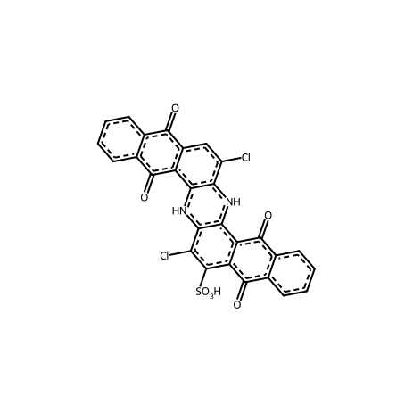 O=c1c2ccccc2c(=O)c2c1cc(Cl)c1[nH]c3c([nH]c12)c(Cl)c(S(=O)(=O)O)c1c(=O)c2ccccc2c(=O)c13